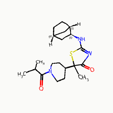 CC(C)C(=O)N1CCC(C2(C)SC(N[C@H]3C[C@@H]4CC[C@H]3C4)=NC2=O)CC1